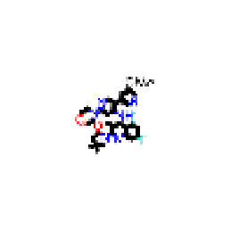 COc1cncc(-c2cnc(N3CCOCC3)cc2Nc2c(C)c(N3CC(C)(C)CC3=O)nc3cc(F)cc(F)c23)c1